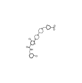 O=C(NCc1cccc(Cl)c1)c1cnc(N2CCN(C3CCN(Cc4ccc([N+](=O)[O-])cc4)CC3)CC2)c(Cl)c1